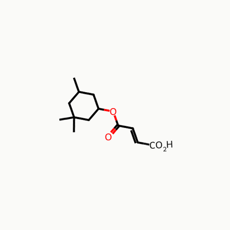 CC1CC(OC(=O)C=CC(=O)O)CC(C)(C)C1